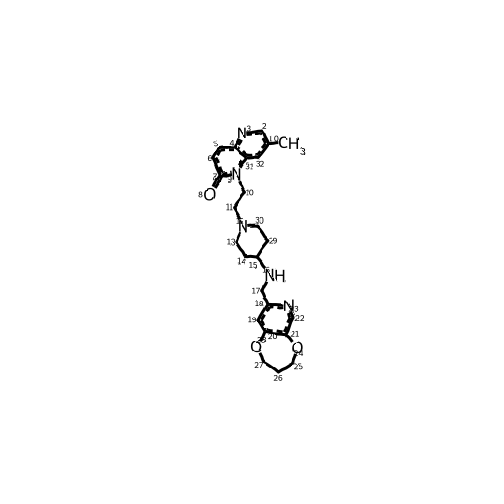 Cc1cnc2ccc(=O)n(CCN3CCC(NCc4cc5c(cn4)OCCCO5)CC3)c2c1